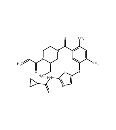 C=CC(=O)N1CCN(C(=O)c2cc(Sc3cnc(NC(=O)C4CC4)s3)c(C)cc2C)C[C@H]1CC